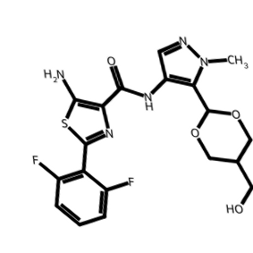 Cn1ncc(NC(=O)c2nc(-c3c(F)cccc3F)sc2N)c1C1OCC(CO)CO1